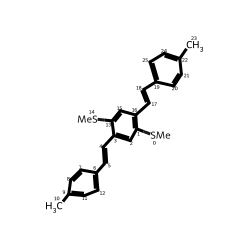 CSc1cc(/C=C/c2ccc(C)cc2)c(SC)cc1/C=C/c1ccc(C)cc1